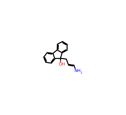 NC=CCC1(O)c2ccccc2-c2ccccc21